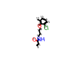 C=CC(=O)NCCCCOc1c(C)cccc1Cl